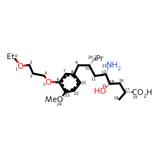 CCOCCCOc1cc(C[C@@H](C[C@H](N)[C@@H](O)C[C@@H](C)C(=O)O)C(C)C)ccc1OC